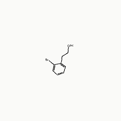 CC(=O)OCCc1ccccc1Br